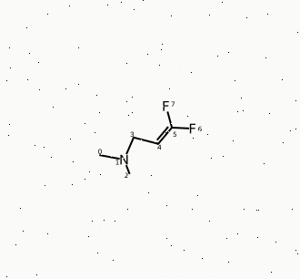 CN(C)CC=C(F)F